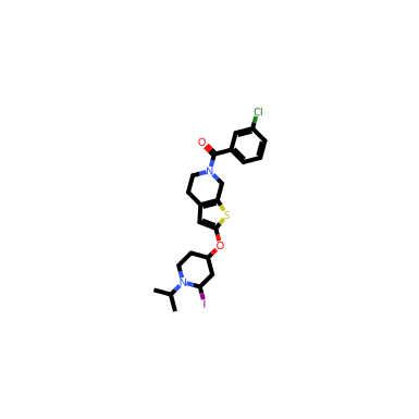 CC(C)N1CCC(Oc2cc3c(s2)CN(C(=O)c2cccc(Cl)c2)CC3)CC1I